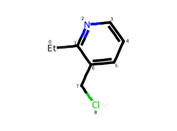 CCc1ncccc1CCl